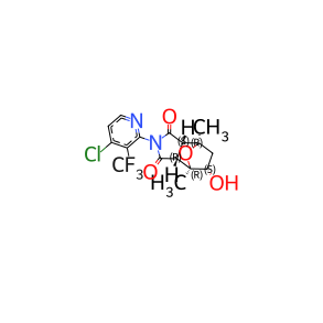 C[C@]12O[C@](C)(C[C@@H]1O)[C@H]1C(=O)N(c3nccc(Cl)c3C(F)(F)F)C(=O)[C@H]12